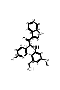 COc1cc(CO)cc(NC(C(=O)c2c[nH]c3ccccc23)c2ccc(F)nc2)c1